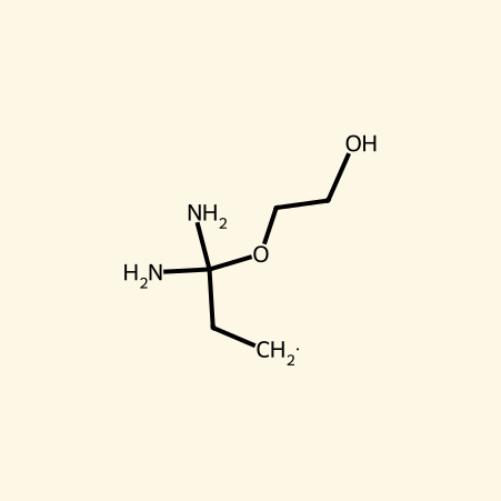 [CH2]CC(N)(N)OCCO